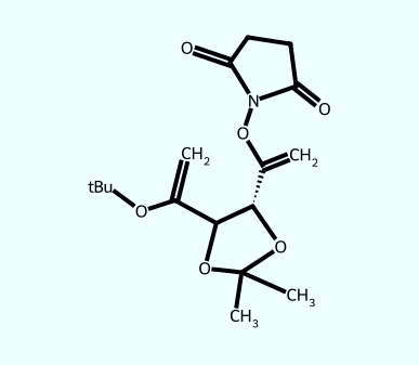 C=C(OC(C)(C)C)C1OC(C)(C)O[C@H]1C(=C)ON1C(=O)CCC1=O